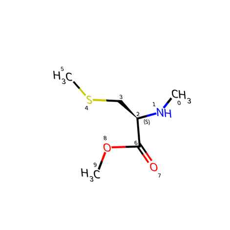 CN[C@H](CSC)C(=O)OC